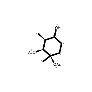 CC(=O)O[C@H]1[C@@H](C)C(O)CC[C@@]1(C)OC(C)=O